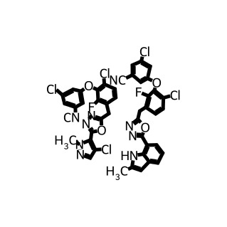 Cc1cc2cccc(-c3nnc(Cc4ccc(Cl)c(Oc5cc(Cl)cc(C#N)c5)c4F)o3)c2[nH]1.Cn1ncc(Cl)c1-c1nnc(Cc2ccc(Cl)c(Oc3cc(Cl)cc(C#N)c3)c2F)o1